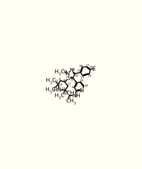 CCNc1cc(C2=S(C3CC(C)(C)NC(C)(C)C3)N(C)N=C2c2ccc(F)cc2)ccn1